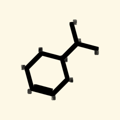 CC(C)[C]1CC=CCC1